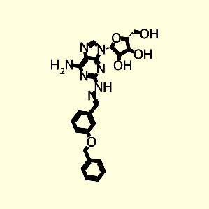 Nc1nc(N/N=C/c2cccc(OCc3ccccc3)c2)nc2c1ncn2[C@@H]1O[C@H](CO)C(O)C1O